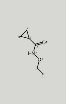 CCONC(=O)C1CC1